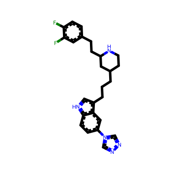 Fc1ccc(CCC2CC(CCCc3c[nH]c4ccc(-n5cnnc5)cc34)CCN2)cc1F